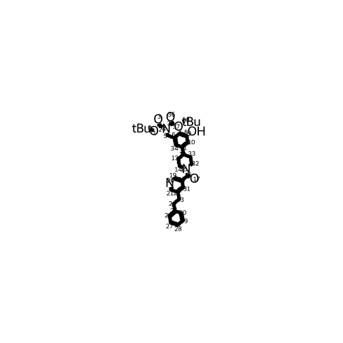 CC(C)(C)OC(=O)N(Cc1cc(O)cc(C2CCN(C(=O)c3cncc(CCc4ccccc4)c3)CC2)c1)C(=O)OC(C)(C)C